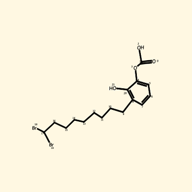 O=C(O)Oc1cccc(CCCCCCCCC(Br)Br)c1O